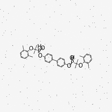 Cc1cccc(C)c1OC(C)(C)[PH](=O)Oc1ccc(-c2ccc(O[PH](=O)C(C)(C)Oc3c(C)cccc3C)cc2)cc1